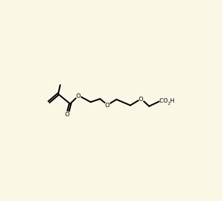 C=C(C)C(=O)OCCOCCOCC(=O)O